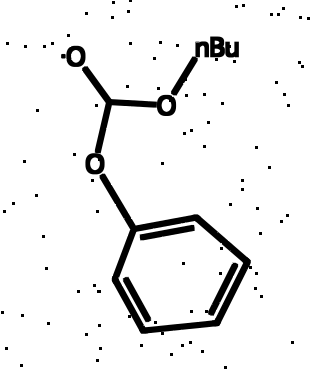 CCCCOC([O])Oc1ccccc1